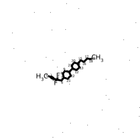 CC#CC(F)(F)CC1CCC(C2CCC(CCCCC)CC2)CC1